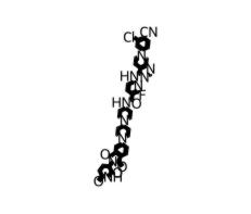 N#Cc1ccc(N2CCc3c(ncnc3Nc3ccc(C(=O)NC4CCN(C5CCN(c6ccc7c(c6)C(=O)N(C6CCC(=O)NC6=O)C7=O)CC5)CC4)c(F)n3)C2)cc1Cl